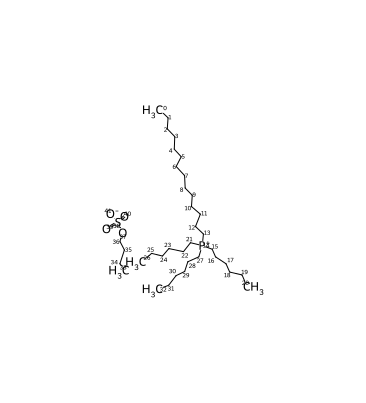 CCCCCCCCCCCCCC[P+](CCCCCC)(CCCCCC)CCCCCC.CCCCOS(=O)(=O)[O-]